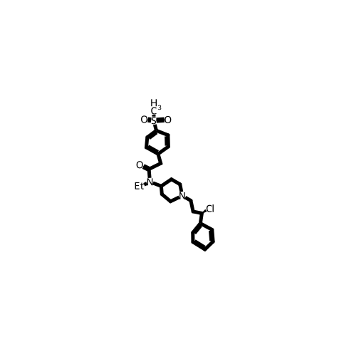 CCN(C(=O)Cc1ccc(S(C)(=O)=O)cc1)C1CCN(CC[C@@H](Cl)c2ccccc2)CC1